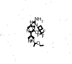 CCOC(C)n1cc(-c2ncc3nc(N)nn3c2OC2(C(F)(F)F)CCC2)cn1